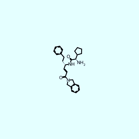 N[C@H](C(=O)N[C@H](/C=C/C(=O)N1Cc2ccccc2C1)CCc1ccccc1)C1CCCC1